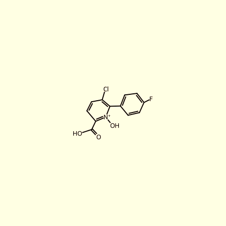 O=C(O)c1ccc(Cl)c(-c2ccc(F)cc2)[n+]1O